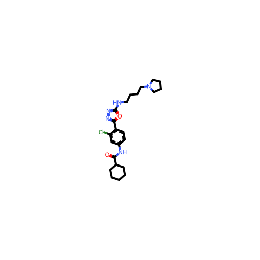 O=C(Nc1ccc(-c2nnc(NCCCCN3CCCC3)o2)c(Cl)c1)C1CCCCC1